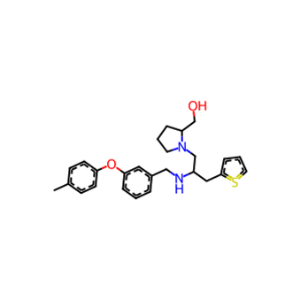 Cc1ccc(Oc2cccc(CNC(Cc3cccs3)CN3CCCC3CO)c2)cc1